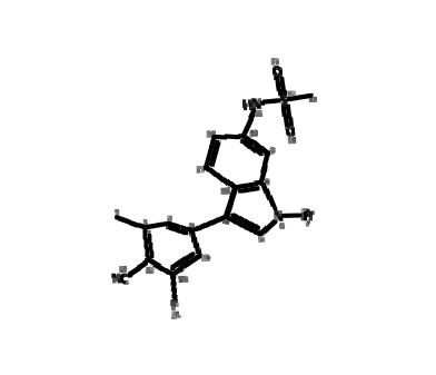 Cc1cc(-c2cn(C(C)C)c3cc(NS(C)(=O)=O)ccc23)cc(F)c1C#N